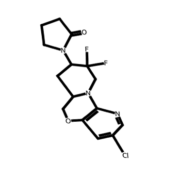 O=C1CCCN1C1CC2COc3cc(Cl)cnc3N2CC1(F)F